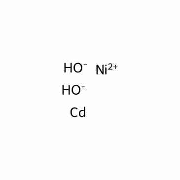 [Cd].[Ni+2].[OH-].[OH-]